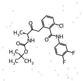 C[C@H](NC(=O)OC(C)(C)C)C(=O)Cc1cccc(Cl)c1C(=O)Nc1ccc(F)c(F)c1